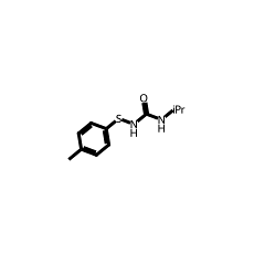 Cc1ccc(SNC(=O)NC(C)C)cc1